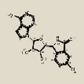 Cc1ncnc2c1ccn2[C@@H]1O[C@H]([C@@H]2NC(=O)c3cc(Cl)ccc32)[C@@H](O)[C@H]1O